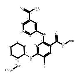 CC(C)(C)NC(=O)c1cc(F)c(N[C@H]2CCCC[C@H]2NC(=O)O)nc1Nc1cncc(C(N)=O)c1